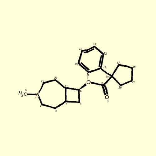 CN1CCC2C[C@H](OC(=O)C3(c4ccccc4)CCCC3)C2CC1